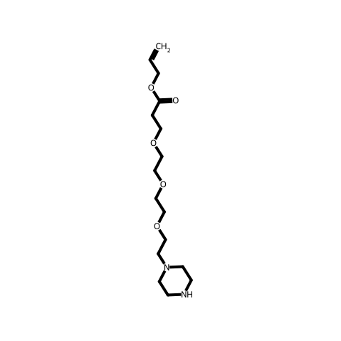 C=CCOC(=O)CCOCCOCCOCCN1CCNCC1